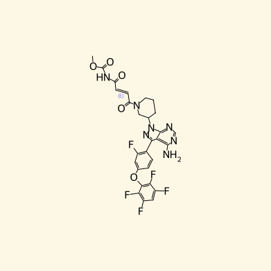 COC(=O)NC(=O)/C=C/C(=O)N1CCCC(n2nc(-c3ccc(Oc4c(F)c(F)cc(F)c4F)cc3F)c3c(N)ncnc32)C1